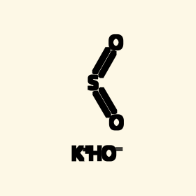 O=S=O.[K+].[OH-]